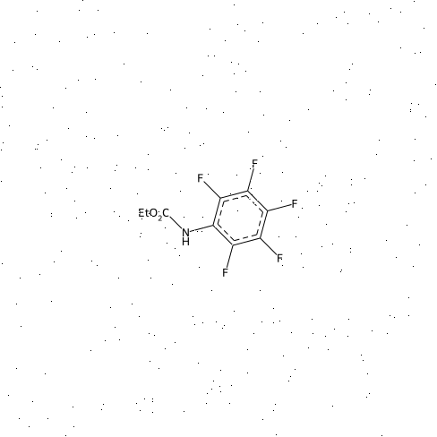 CCOC(=O)Nc1c(F)c(F)c(F)c(F)c1F